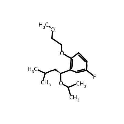 COCCOc1ccc(F)cc1[C@H](CC(C)C)OC(C)C